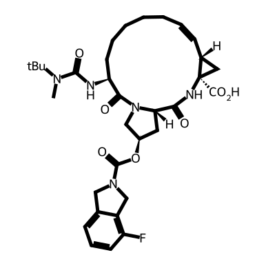 CN(C(=O)N[C@H]1CCCCC/C=C\[C@@H]2C[C@@]2(C(=O)O)NC(=O)[C@@H]2C[C@@H](OC(=O)N3Cc4cccc(F)c4C3)CN2C1=O)C(C)(C)C